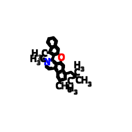 Cc1cc(CC(C)(C)C)c2cc3c4c([n+](C)ccc4c2c1)-c1c(cc2ccccc2c1C)O3